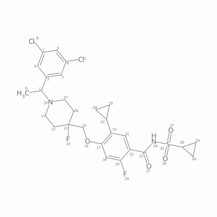 CC(c1cc(Cl)cc(Cl)c1)N1CCC(F)(COc2cc(F)c(C(=O)NS(=O)(=O)C3CC3)cc2C2CC2)CC1